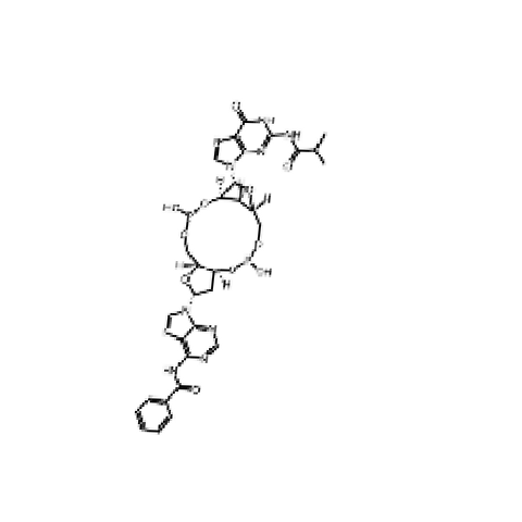 CC(C)C(=O)Nc1nc2c(ncn2[C@@H]2O[C@@H]3COP(O)O[C@H]4C[C@H](n5cnc6c(NC(=O)c7ccccc7)ncnc65)O[C@@H]4COP(O)O[C@@H]2[C@@H]3F)c(=O)[nH]1